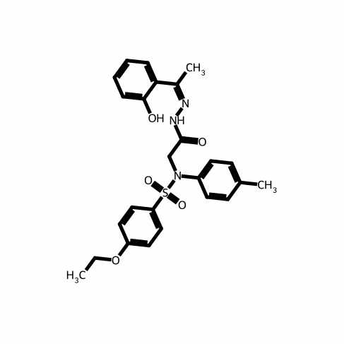 CCOc1ccc(S(=O)(=O)N(CC(=O)N/N=C(/C)c2ccccc2O)c2ccc(C)cc2)cc1